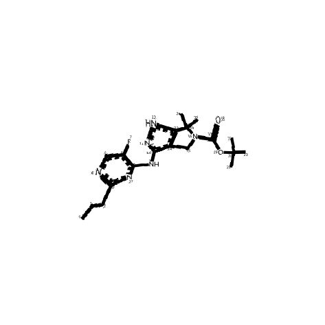 CCCc1ncc(F)c(Nc2n[nH]c3c2CN(C(=O)OC(C)(C)C)C3(C)C)n1